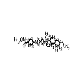 CCc1cc2ncc(C(C)(C)N3CC4(CN(c5ccc(C(=O)NC)nc5)C4)C3)cc2[nH]c1=O